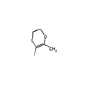 CC1=C(I)SCCO1